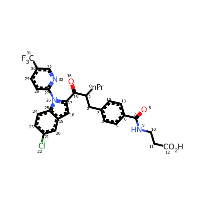 CCCC(Cc1ccc(C(=O)NCCC(=O)O)cc1)C(=O)c1cc2cc(Cl)ccc2n1-c1ccc(C(F)(F)F)cn1